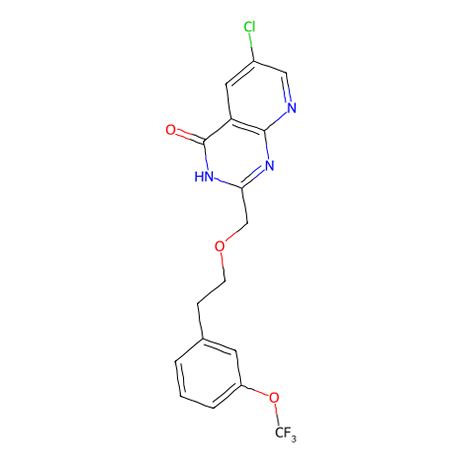 O=c1[nH]c(COCCc2cccc(OC(F)(F)F)c2)nc2ncc(Cl)cc12